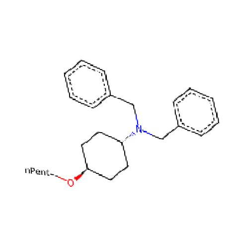 CCCCCO[C@H]1CC[C@H](N(Cc2ccccc2)Cc2ccccc2)CC1